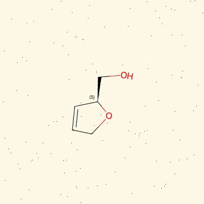 OC[C@@H]1C=CCO1